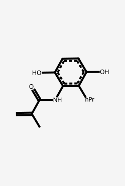 C=C(C)C(=O)Nc1c(O)ccc(O)c1CCC